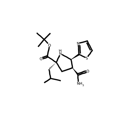 CC(C)C[C@@]1(C(=O)OC(C)(C)C)C[C@H](C(N)=O)[C@H](c2nccs2)N1